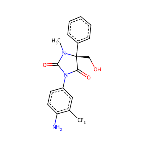 CN1C(=O)N(c2ccc(N)c(C(F)(F)F)c2)C(=O)[C@@]1(CO)c1ccccc1